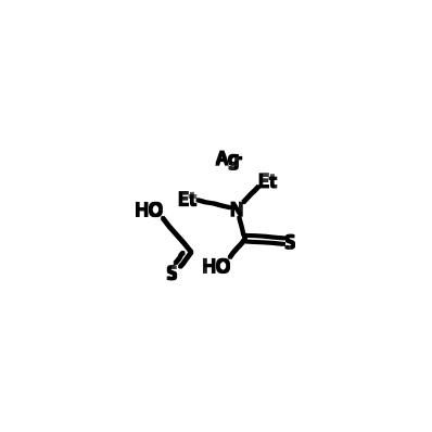 CCN(CC)C(O)=S.OC=S.[Ag]